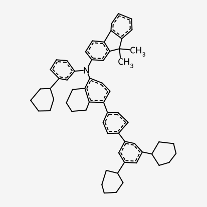 CC1(C)c2ccccc2-c2ccc(N(c3cccc(C4CCCCC4)c3)c3ccc(-c4ccc(-c5cc(C6CCCCC6)cc(C6CCCCC6)c5)cc4)c4c3CCCC4)cc21